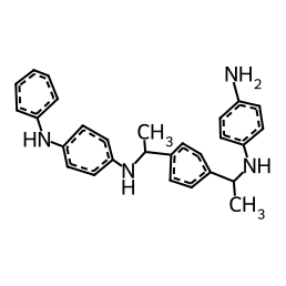 CC(Nc1ccc(N)cc1)c1ccc(C(C)Nc2ccc(Nc3ccccc3)cc2)cc1